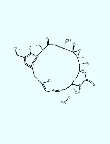 COc1cc2cc(c1Cl)N(C)C(=O)C[C@H](O)[C@@H]1O[C@H]1[C@H](C)[C@@H]1C[C@@](O)(NC(=O)O1)[C@H](OC)/C=C/C=C(\C)C2